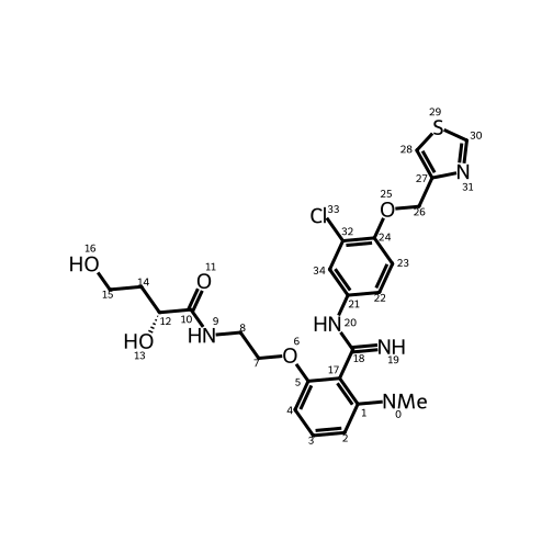 CNc1cccc(OCCNC(=O)[C@H](O)CCO)c1C(=N)Nc1ccc(OCc2cscn2)c(Cl)c1